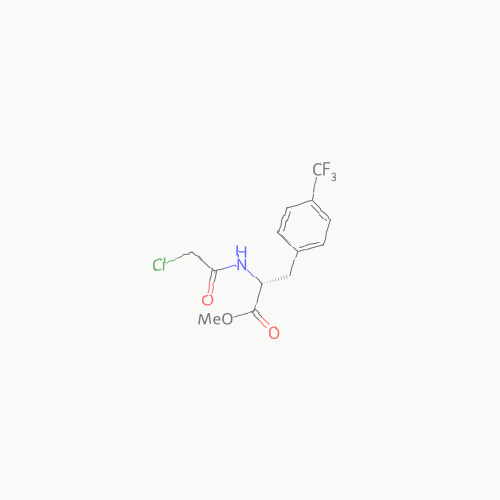 COC(=O)[C@@H](Cc1ccc(C(F)(F)F)cc1)NC(=O)CCl